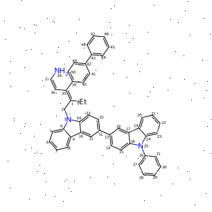 CC/C(Cn1c2ccccc2c2cc(-c3ccc4c(c3)c3ccccc3n4-c3ccccc3)ccc21)=C(/C=C\N)c1ccc(-c2ccccc2)cc1